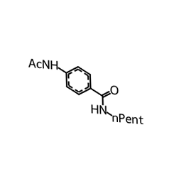 CCCCCNC(=O)c1ccc(NC(C)=O)cc1